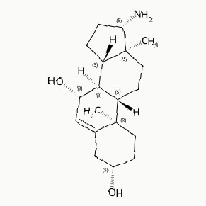 C[C@]12CC[C@H]3[C@@H]([C@@H](O)C=C4C[C@@H](O)CC[C@@]43C)[C@@H]1CC[C@@H]2N